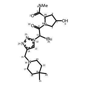 CNC(=O)[C@H]1CC(O)CN1C(=O)C(n1cc(CN2CCC(C)(C)CC2)nn1)C(C)(C)C